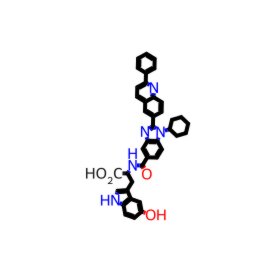 O=C(NC(Cc1c[nH]c2ccc(O)cc12)C(=O)O)c1ccc2c(c1)nc(-c1ccc3nc(-c4ccccc4)ccc3c1)n2C1CCCCC1